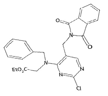 CCOC(=O)CN(Cc1ccccc1)c1nc(Cl)ncc1CN1C(=O)c2ccccc2C1=O